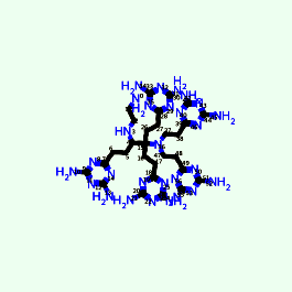 NCCNC(CCc1nc(N)nc(N)n1)C(CCc1nc(N)nc(N)n1)(CCc1nc(N)nc(N)n1)N(CCc1nc(N)nc(N)n1)CCc1nc(N)nc(N)n1